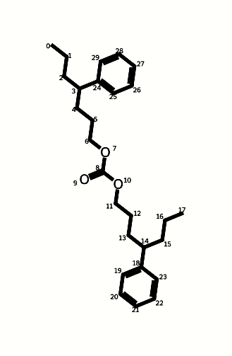 CCCC(CCCOC(=O)OCCCC(CCC)c1ccccc1)c1ccccc1